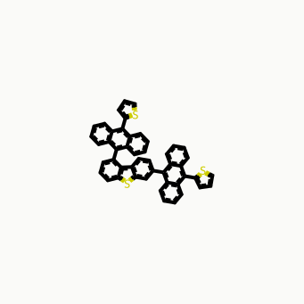 c1csc(-c2c3ccccc3c(-c3ccc4c(c3)sc3cccc(-c5c6ccccc6c(-c6cccs6)c6ccccc56)c34)c3ccccc23)c1